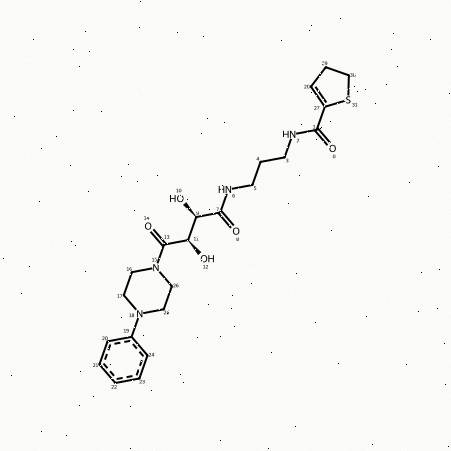 O=C(NCCCNC(=O)[C@H](O)[C@@H](O)C(=O)N1CCN(c2ccccc2)CC1)C1=CCCS1